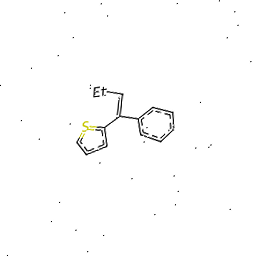 CC/C=C(/c1ccccc1)c1cccs1